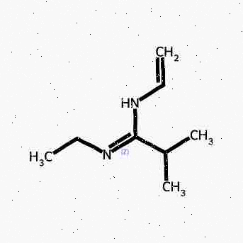 C=CN/C(=N\CC)C(C)C